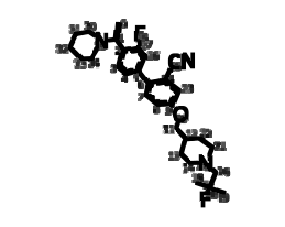 C=C(c1ccc(-c2ccc(OCC3CCN(CC(C)(C)F)CC3)cc2C#N)cc1F)N1CCCCC1